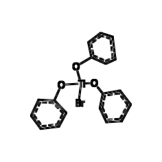 [Br][Ti]([O]c1ccccc1)([O]c1ccccc1)[O]c1ccccc1